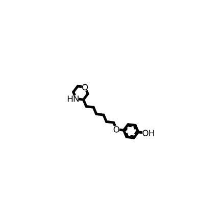 Oc1ccc(OCCCCCCC2COCCN2)cc1